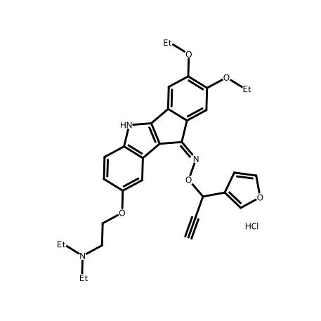 C#CC(ON=C1c2cc(OCC)c(OCC)cc2-c2[nH]c3ccc(OCCN(CC)CC)cc3c21)c1ccoc1.Cl